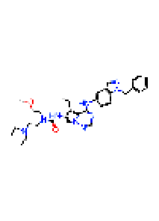 CCc1c(NC(=O)N(CCOC)CCN(CC)CC)cn2ncnc(Nc3ccc4c(cnn4Cc4ccccc4)c3)c12